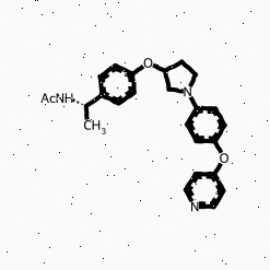 CC(=O)N[C@@H](C)c1ccc(OC2CCN(c3ccc(Oc4ccncc4)cc3)C2)cc1